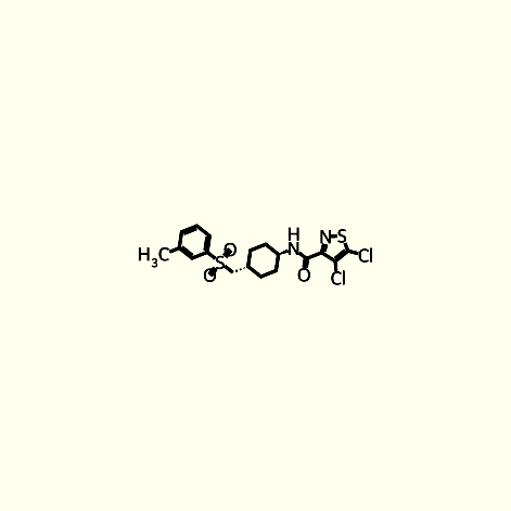 Cc1cccc(S(=O)(=O)C[C@H]2CC[C@H](NC(=O)c3nsc(Cl)c3Cl)CC2)c1